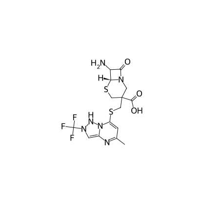 CC1=NC2=CN(C(F)(F)F)NN2C(SCC2(C(=O)O)CS[C@@H]3C(N)C(=O)N3C2)=C1